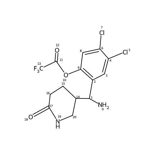 NC(c1cc(Cl)c(Cl)cc1OC(=O)C(F)(F)F)C1CCC(=O)NC1